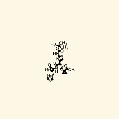 CC(C)(C)OC(=O)Nc1nc(C(=NOC2(C(=O)O)CC2)C(=O)N[C@@H]2C(=O)N[C@H]2Cn2cncn2)cs1